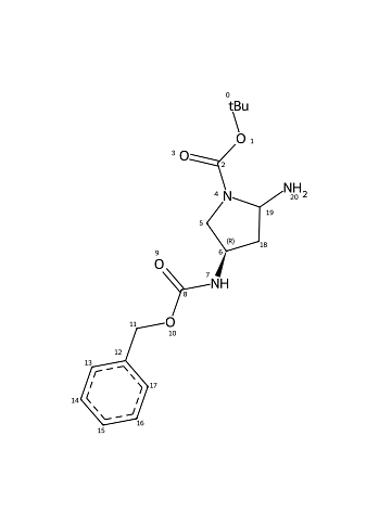 CC(C)(C)OC(=O)N1C[C@H](NC(=O)OCc2ccccc2)CC1N